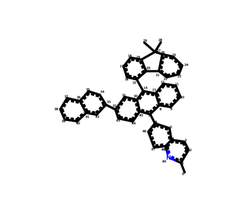 Cc1ccc2cc(-c3c4ccccc4c(-c4cccc5c4-c4ccccc4C5(C)C)c4cc(-c5ccc6ccccc6c5)ccc34)ccc2n1